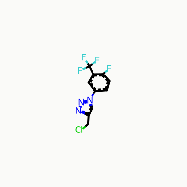 Fc1ccc(-n2cc(CCl)nn2)cc1C(F)(F)F